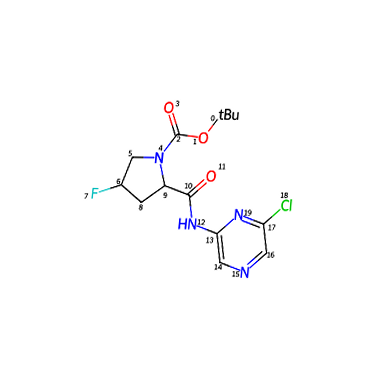 CC(C)(C)OC(=O)N1CC(F)CC1C(=O)Nc1cncc(Cl)n1